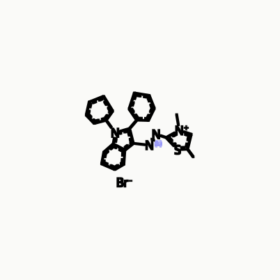 Cc1c[n+](C)c(/N=N/c2c(-c3ccccc3)n(-c3ccccc3)c3ccccc23)s1.[Br-]